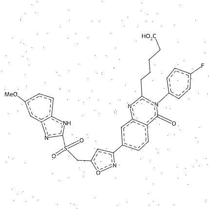 COc1ccc2[nH]c(S(=O)(=O)Cc3cc(-c4ccc5c(=O)n(-c6ccc(F)cc6)c(CCCCC(=O)O)nc5c4)no3)nc2c1